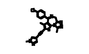 Cc1c(C#Cc2cnn(C)c2)sc2c1C(c1ccc(Cl)cc1)=NCc1nnc(C)n1-2